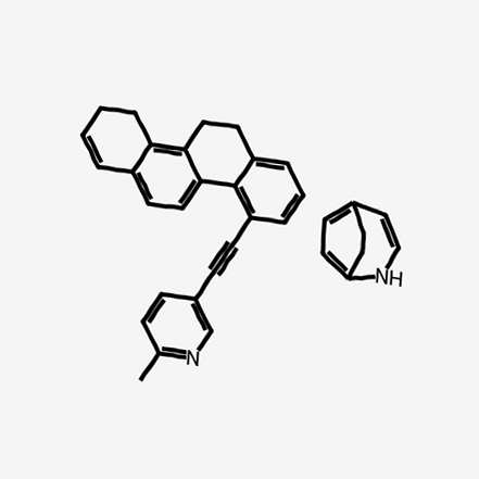 C1=CC2=CC=C(CC2)N1.Cc1ccc(C#Cc2cccc3c2-c2ccc4c(c2CC3)CCC=C4)cn1